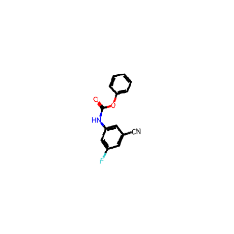 N#Cc1cc(F)cc(NC(=O)Oc2ccccc2)c1